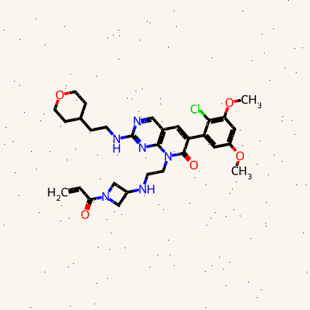 C=CC(=O)N1CC(NCCn2c(=O)c(-c3cc(OC)cc(OC)c3Cl)cc3cnc(NCCC4CCOCC4)nc32)C1